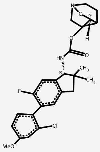 COc1ccc(-c2cc3c(cc2F)[C@H](NC(=O)O[C@@H]2CN4CCC2CC4)C(C)(C)C3)c(Cl)c1